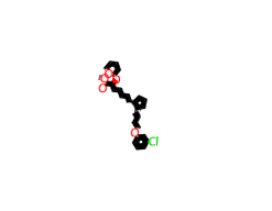 COC(=O)C(CCCCC[C@H]1CCC[C@@H]1C=CCCOc1cccc(Cl)c1)OC1CCCCO1